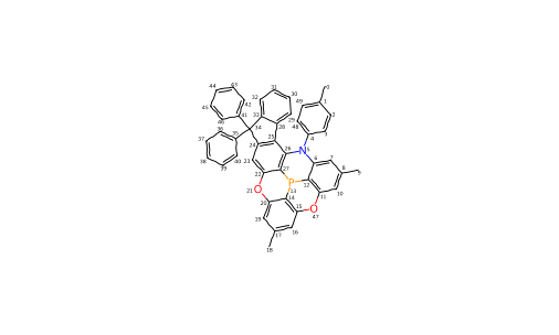 Cc1ccc(N2c3cc(C)cc4c3P3c5c(cc(C)cc5Oc5cc6c(c2c53)-c2ccccc2C6(c2ccccc2)c2ccccc2)O4)cc1